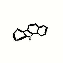 C1=CCC2C(=C1)C=Cc1c2[nH]c2ccccc12